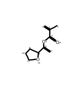 C=C(C)C(=O)OC(=C)C1CCCO1